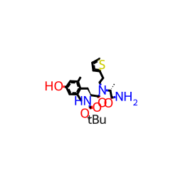 Cc1cc(O)cc(C)c1C[C@H](NC(=O)OC(C)(C)C)C(=O)N(CCc1cccs1)[C@H](C)C(N)=O